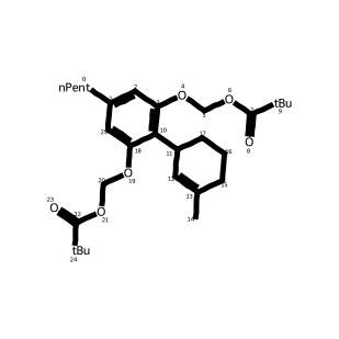 CCCCCc1cc(OCOC(=O)C(C)(C)C)c(C2C=C(C)CCC2)c(OCOC(=O)C(C)(C)C)c1